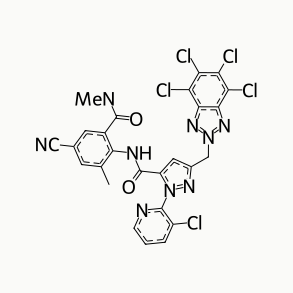 CNC(=O)c1cc(C#N)cc(C)c1NC(=O)c1cc(Cn2nc3c(Cl)c(Cl)c(Cl)c(Cl)c3n2)nn1-c1ncccc1Cl